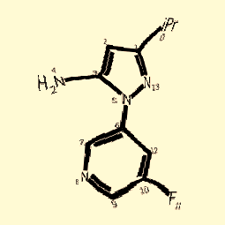 CC(C)c1cc(N)n(-c2cncc(F)c2)n1